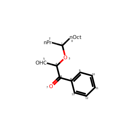 CCCCCCCCC(CCC)OC(C=O)C(=O)c1ccccc1